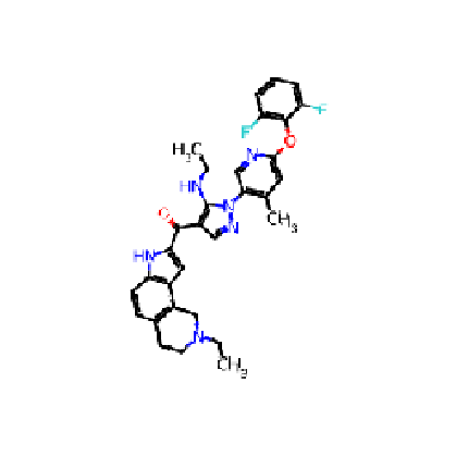 CCNc1c(C(=O)c2cc3c4c(ccc3[nH]2)CCN(CC)C4)cnn1-c1cnc(Oc2c(F)cccc2F)cc1C